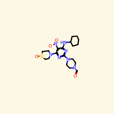 O=CN1CCN(c2nc(NC3CCCCC3)c([N+](=O)[O-])c(N3CC[S+]([O-])CC3)n2)CC1